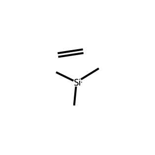 C=C.C[Si](C)C